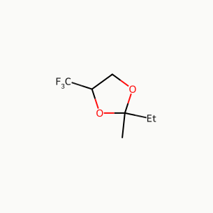 CCC1(C)OCC(C(F)(F)F)O1